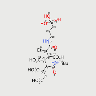 CCCCNC(=O)C([C@H](CC(=O)O)C(=O)O)[C@H](C(=O)O)[C@H](C(=O)O)C(CC)C(=O)NCCC[Si](O)(O)O